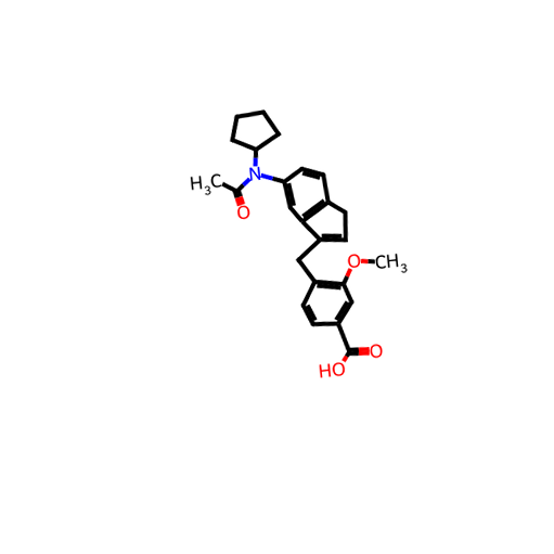 COc1cc(C(=O)O)ccc1CC1=CCc2ccc(N(C(C)=O)C3CCCC3)cc21